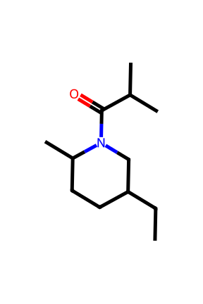 CCC1CCC(C)N(C(=O)C(C)C)C1